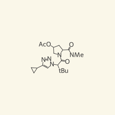 CNC(=O)C1CC(OC(C)=O)CN1C(=O)C(n1cc(C2CC2)nn1)C(C)(C)C